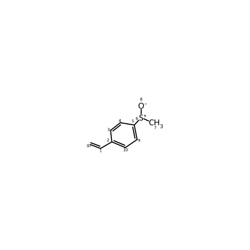 [C]=Cc1ccc([S+](C)[O-])cc1